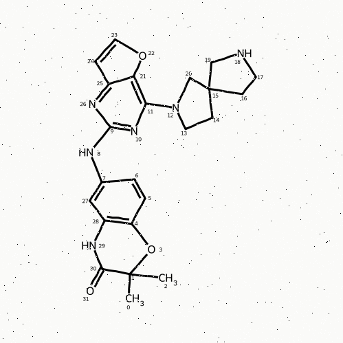 CC1(C)Oc2ccc(Nc3nc(N4CCC5(CCNC5)C4)c4occc4n3)cc2NC1=O